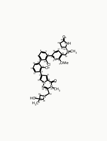 COc1nc(-c2cccc(-c3cccc(-c4cc5c(=O)n(C)c(CN6CC(C)(O)C6)nn5c4)c3Cl)c2Cl)ccc1CN(C)[C@H]1CCC(=O)N1